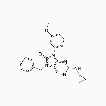 COc1cccc(-n2c(=O)n(Cc3ccccc3)c3cnc(NC4CC4)nc32)c1